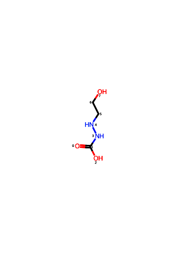 O=C(O)NNCCO